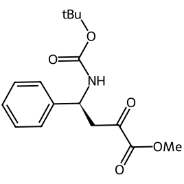 COC(=O)C(=O)C[C@H](NC(=O)OC(C)(C)C)c1ccccc1